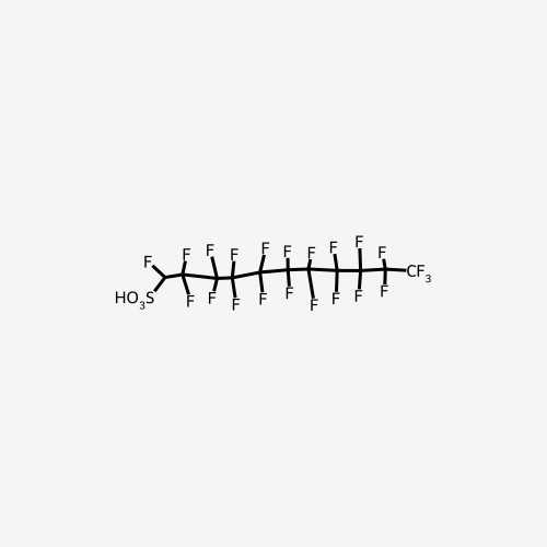 O=S(=O)(O)C(F)C(F)(F)C(F)(F)C(F)(F)C(F)(F)C(F)(F)C(F)(F)C(F)(F)C(F)(F)C(F)(F)C(F)(F)F